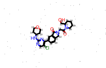 O=C1c2cc(-c3nc(NC4CCOCC4)ncc3Cl)ccc2CN1CC(=O)N1CCCCC1CO